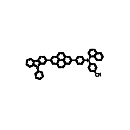 N#Cc1ccc(N(c2ccc(-c3cc4ccc5cc(-c6ccc7c8ccccc8n(-c8ccccc8)c7c6)cc6ccc(c3)c4c56)cc2)c2cccc3ccccc23)cc1